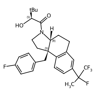 CC(C)(C)[C@H](O)C(=O)N1CC[C@@]2(Cc3ccc(F)cc3)c3ccc(C(C)(F)C(F)(F)F)cc3CC[C@@H]12